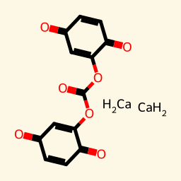 O=C1C=CC(=O)C(OC(=O)OC2=CC(=O)C=CC2=O)=C1.[CaH2].[CaH2]